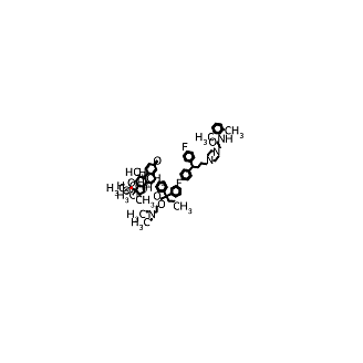 CCCC(C(=O)OCCN(CC)CC)(c1ccccc1)c1ccccc1.COC(=O)[C@@]1(C)[C@H](C)C[C@H]2[C@@H]3CCC4=CC(=O)C=C[C@]4(C)[C@H]3[C@@H](O)C[C@@]21C.Cc1cccc(C)c1NC(=O)CN1CCN(CCCC(c2ccc(F)cc2)c2ccc(F)cc2)CC1